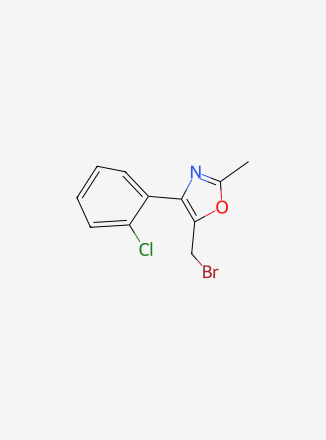 Cc1nc(-c2ccccc2Cl)c(CBr)o1